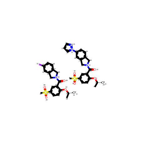 C[C@H](Oc1ccc(S(C)(=O)=O)cc1C(=O)N1Cc2ccc(-n3cccn3)cc2C1)C(F)(F)F.C[C@H](Oc1ccc(S(C)(=O)=O)cc1C(=O)N1Cc2ccc(I)cc2C1)C(F)(F)F